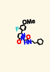 COc1ccc(-c2ccc(=O)n(CC(=O)NCCC3=CCCCC3)n2)c(F)c1